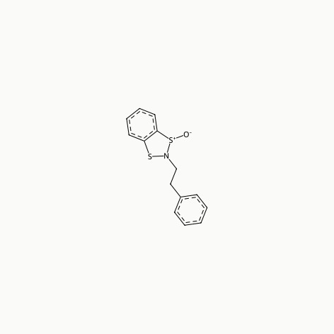 [O-][S+]1c2ccccc2SN1CCc1ccccc1